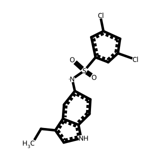 CCc1c[nH]c2ccc([N]S(=O)(=O)c3cc(Cl)cc(Cl)c3)cc12